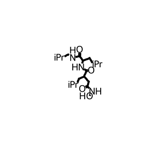 CC(C)CNC(=O)C(CC(C)C)NC(=O)C(CC(=O)NO)CC(C)C